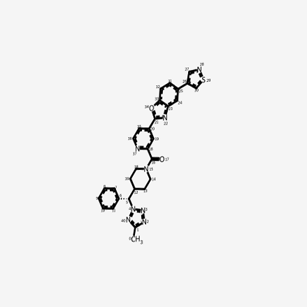 Cc1nnn([C@H](c2ccccc2)C2CCN(C(=O)c3cc(-c4nc5cc(-c6cnsc6)ccc5o4)ccn3)CC2)n1